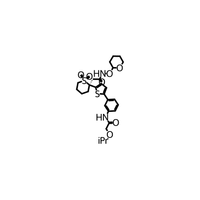 CC(C)OCC(=O)Nc1cccc(-c2ccc([C@@]3(CC(=O)NOC4CCCCO4)CCCCS3(=O)=O)s2)c1